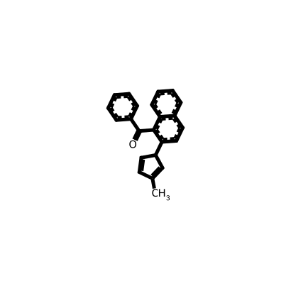 CC1=CC(c2ccc3ccccc3c2C(=O)c2ccccc2)C=C1